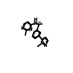 Cc1nccc(N[C@@H](C)c2cccc(-c3ccnn3C)c2)n1